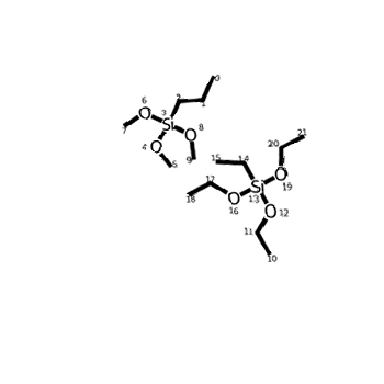 CCC[Si](OC)(OC)OC.CCO[Si](CC)(OCC)OCC